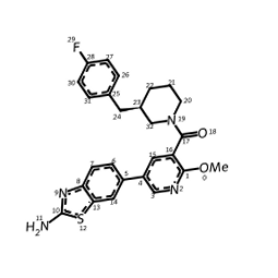 COc1ncc(-c2ccc3nc(N)sc3c2)cc1C(=O)N1CCC[C@H](Cc2ccc(F)cc2)C1